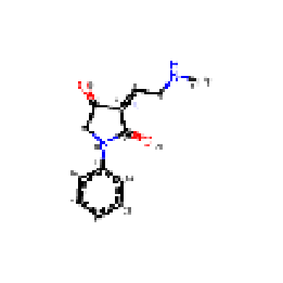 CC(C)NC/C=C1/C(=O)CN(c2ccccc2)C1=O